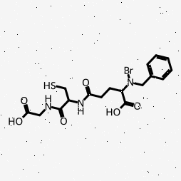 O=C(O)CNC(=O)C(CS)NC(=O)CCC(C(=O)O)N(Br)Cc1ccccc1